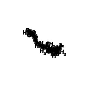 CCc1cc(Nc2ncc(Br)c(Nc3ccc4nc(C5CC5)ccc4c3P(C)(C)=O)n2)c(OC)cc1N1CCC(NCCNCC2CN(c3ccc4c(c3)CN(C3CCC(=O)NC3=O)C4=O)C2)CC1